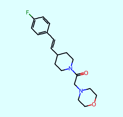 O=C(CN1CCOCC1)N1CCC(/C=C/c2ccc(F)cc2)CC1